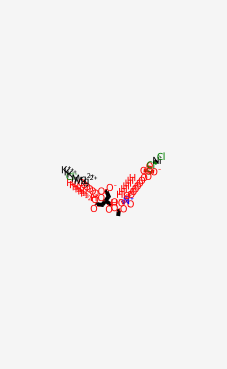 CC(=O)[O-].O.O.O.O.O.O.O.O.O.O.O.O.O.O=C([O-])CC(O)(CC(=O)[O-])C(=O)[O-].O=S(=O)([O-])[O-].O=[N+]([O-])O.[Cl-].[Cl][Ni][Cl].[K+].[K+].[K+].[Mg+2].[Mg+2]